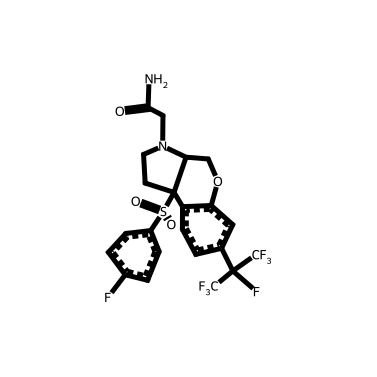 NC(=O)CN1CCC2(S(=O)(=O)c3ccc(F)cc3)c3ccc(C(F)(C(F)(F)F)C(F)(F)F)cc3OCC12